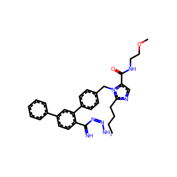 CCCCc1ncc(C(=O)NCCOC)n1Cc1ccc(-c2cc(-c3ccccc3)ccc2C(=N)/N=N\N)cc1